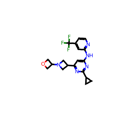 FC(F)(F)c1ccnc(Nc2cc(C3CN(C4COC4)C3)nc(C3CC3)n2)c1